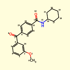 COc1cccc(C(=O)c2ccc(C(=O)NC3CCCCC3)cc2)c1